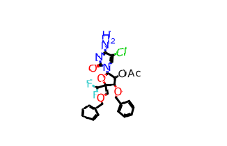 CC(=O)OC1C(n2cc(Cl)c(N)nc2=O)OC(COCc2ccccc2)(C(F)F)C1OCc1ccccc1